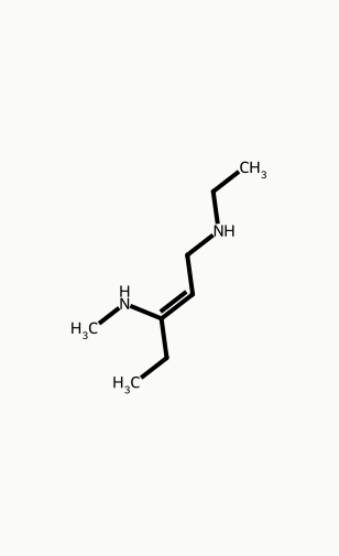 CCNC/C=C(/CC)NC